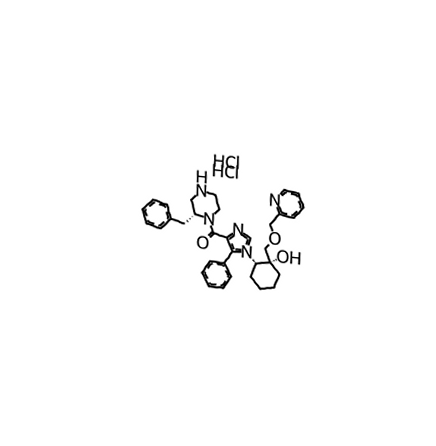 Cl.Cl.O=C(c1ncn([C@H]2CCCC[C@]2(O)COCc2ccccn2)c1-c1ccccc1)N1CCNC[C@H]1Cc1ccccc1